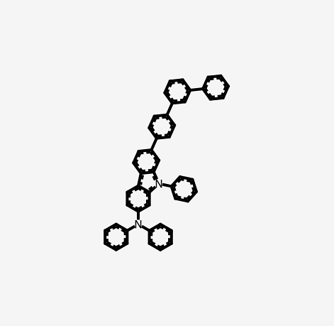 c1ccc(-c2cccc(-c3ccc(-c4ccc5c6ccc(N(c7ccccc7)c7ccccc7)cc6n(-c6ccccc6)c5c4)cc3)c2)cc1